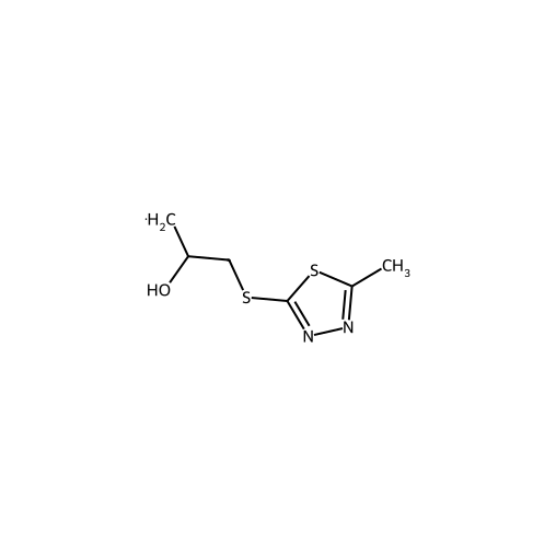 [CH2]C(O)CSc1nnc(C)s1